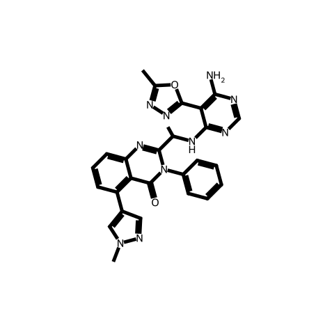 Cc1nnc(-c2c(N)ncnc2NC(C)c2nc3cccc(-c4cnn(C)c4)c3c(=O)n2-c2ccccc2)o1